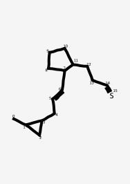 CC1CC1C/C=C/C1CCCC1CCC=S